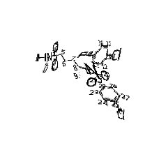 CNS(=O)(=O)CCC[C@@H](C)N(c1cc(Cl)ccc1F)S(=O)(=O)c1ccc(Cl)cc1